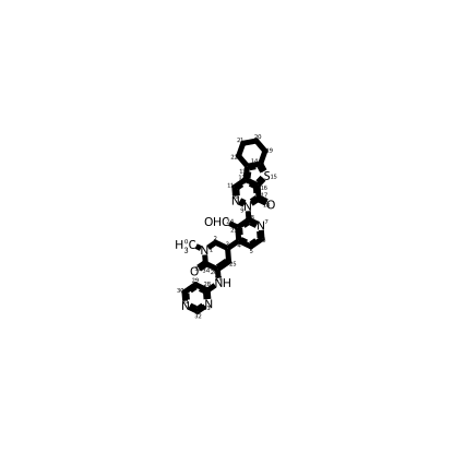 CN1CC(c2ccnc(-n3ncc4c5c(sc4c3=O)CCCC5)c2C=O)C=C(Nc2ccncn2)C1=O